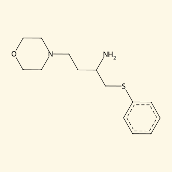 NC(CCN1CCOCC1)CSc1ccccc1